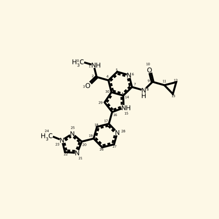 CNC(=O)c1cnc(NC(=O)C2CC2)c2[nH]c(-c3cc(-c4ncn(C)n4)ccn3)cc12